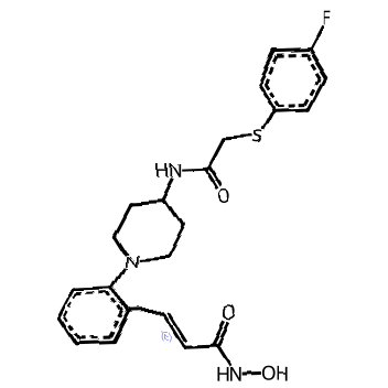 O=C(/C=C/c1ccccc1N1CCC(NC(=O)CSc2ccc(F)cc2)CC1)NO